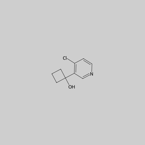 OC1(c2cnccc2Cl)CCC1